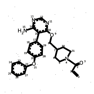 C=CC(=O)N1CCC(COc2ncnc(N)c2-c2ccc(Oc3ccccc3)cc2)CC1